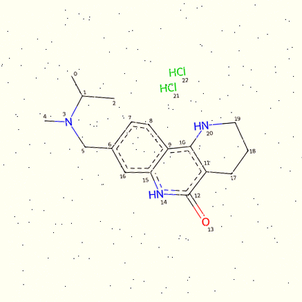 CC(C)N(C)Cc1ccc2c3c(c(=O)[nH]c2c1)CCCN3.Cl.Cl